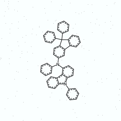 c1ccc(N(c2ccc3c(c2)-c2ccccc2C3(c2ccccc2)c2ccccc2)c2cccc3c2c2ccccc2n3-c2ccccc2)cc1